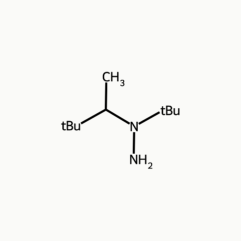 CC(N(N)C(C)(C)C)C(C)(C)C